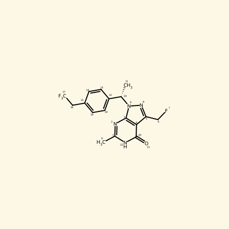 Cc1nc2c(c(CF)nn2[C@@H](C)c2ccc(CC(F)(F)F)cc2)c(=O)[nH]1